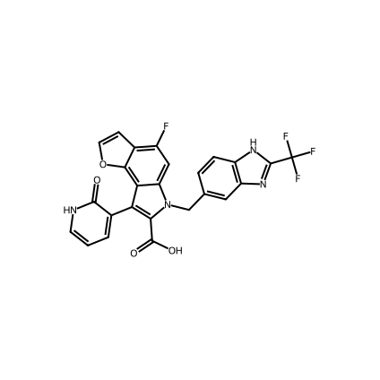 O=C(O)c1c(-c2ccc[nH]c2=O)c2c3occc3c(F)cc2n1Cc1ccc2[nH]c(C(F)(F)F)nc2c1